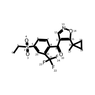 CCS(=O)(=O)c1ccc(C(=O)c2cnoc2C2(C)CC2)c(C(F)(F)F)c1